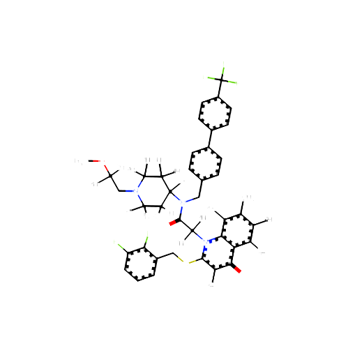 [2H]c1c(C)c([2H])c2c(c1[2H])c(=O)c([2H])c(SCc1cccc(F)c1F)n2C([2H])([2H])C(=O)N(Cc1ccc(-c2ccc(C(F)(F)F)cc2)cc1)C1([2H])C([2H])([2H])C([2H])([2H])N(CC([2H])([2H])OC)C([2H])([2H])C1([2H])[2H]